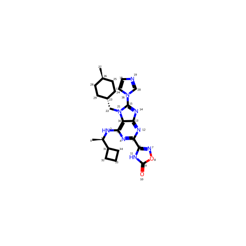 C[C@@H](Nc1nc(-c2noc(=O)[nH]2)nc2nc(-n3ccnc3)n(C[C@H]3CC[C@H](C)CC3)c12)C1CCC1